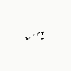 [Mg+2].[Te-2].[Te-2].[Zn+2]